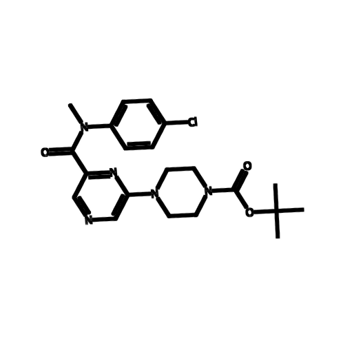 CN(C(=O)c1cncc(N2CCN(C(=O)OC(C)(C)C)CC2)n1)c1ccc(Cl)cc1